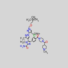 COCc1cn(COCC[Si](C)(C)C)nc1-n1cc(-c2c(-c3ccc(C(=O)N4CCN(C(=O)C5CCN(C)CC5)CC4)c(Cl)c3)nc(C(N)=O)n2C)c(C(F)(F)F)n1